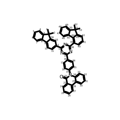 CC1(C)c2ccccc2-c2ccc(-c3nc(-c4ccc(-n5c(=O)c6ccccc6c6ccccc65)cc4)nc(-c4cccc5c4-c4ccccc4C5(C)C)n3)cc21